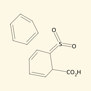 O=C(O)C1C=CC=CC1=S(=O)=O.c1ccccc1